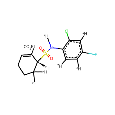 [2H]c1c([2H])c(N([2H])S(=O)(=O)[C@@]2([2H])C(C(=O)OCC)=CCCC2([2H])[2H])c(Cl)c([2H])c1F